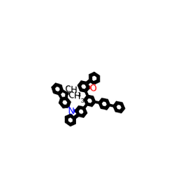 CC1(C)c2ccccc2-c2ccc(-n3c4ccccc4c4ccc(-c5cc(-c6ccc(-c7ccccc7)cc6)cc(-c6cccc7c6oc6ccccc67)c5)cc43)cc21